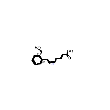 O=C(O)CCC/C=C\C[C@H]1CC=CC[C@H]1CO